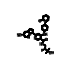 CC(C)(O)C(F)CNC(=O)c1cnc(-c2ccc3cc(C#N)cnn23)cc1Nc1ccc(-n2ccccc2=O)cc1